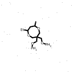 CCC1CC(C)OCC(COP)(COP)CO1